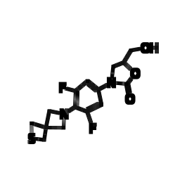 O=C1OC(CO)CN1c1cc(F)c(N2CC3(CSC3)C2)c(F)c1